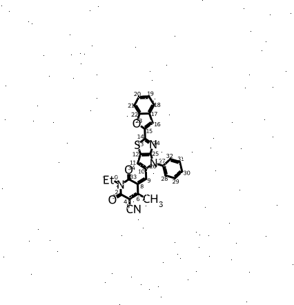 CCN1C(=O)C(C#N)=C(C)/C(=C/c2cc3sc(-c4cc5ccccc5o4)nc3n2-c2ccccc2)C1=O